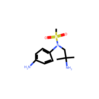 CC(C)(N)CN(c1ccc(N)cc1)S(C)(=O)=O